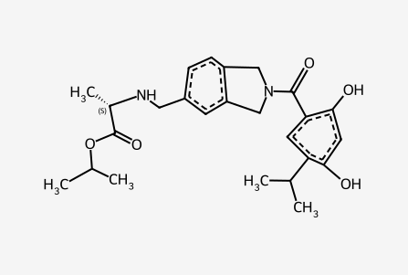 CC(C)OC(=O)[C@H](C)NCc1ccc2c(c1)CN(C(=O)c1cc(C(C)C)c(O)cc1O)C2